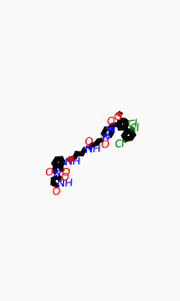 COc1cc(Cl)c(-c2cc(Cl)ccc2Cl)cc1C(=O)N1CCN(C(=O)C=CC(=O)NCCCCCNc2cccc3c2C(=O)N(C2CCC(=O)NC2=O)C3=O)CC1